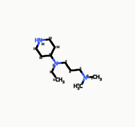 CCN(CCCN(C)C)C1CCNCC1